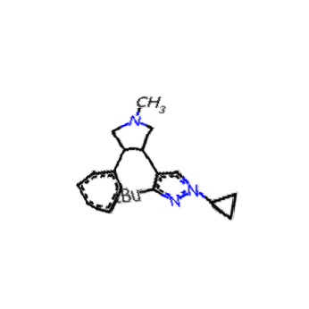 CN1CC(c2ccccc2)C(c2cn(C3CC3)nc2C(C)(C)C)C1